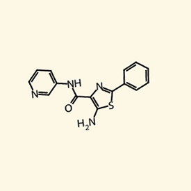 Nc1sc(-c2ccccc2)nc1C(=O)Nc1cccnc1